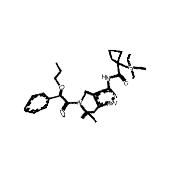 CCCOC(C(=O)N1Cc2c(NC(=O)C3(S(C)(C)C)CCC3)n[nH]c2C1(C)C)c1ccccc1